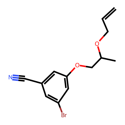 C=CCOC(C)COc1cc(Br)cc(C#N)c1